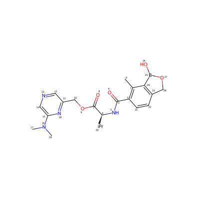 Cc1c(C(=O)N[C@H](C(=O)OCc2cncc(N(C)C)n2)C(C)C)ccc2c1B(O)OC2